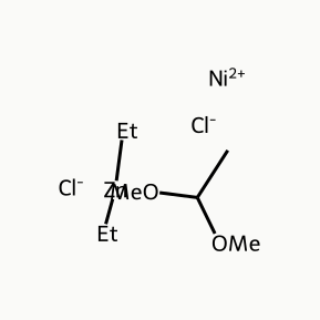 COC(C)OC.C[CH2][Zn][CH2]C.[Cl-].[Cl-].[Ni+2]